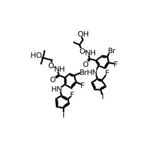 CC(C)(O)CONC(=O)c1cc(Br)c(F)cc1Nc1ccc(I)cc1F.CC(CO)ONC(=O)c1cc(Br)c(F)cc1Nc1ccc(I)cc1F